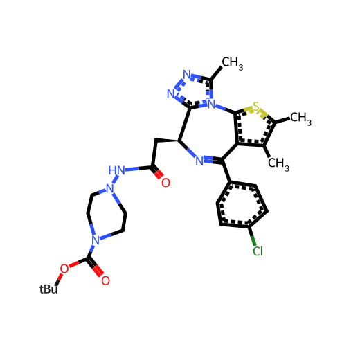 Cc1sc2c(c1C)C(c1ccc(Cl)cc1)=N[C@@H](CC(=O)NN1CCN(C(=O)OC(C)(C)C)CC1)c1nnc(C)n1-2